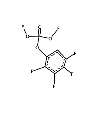 O=P(OF)(OF)Oc1cc(F)c(F)c(F)c1F